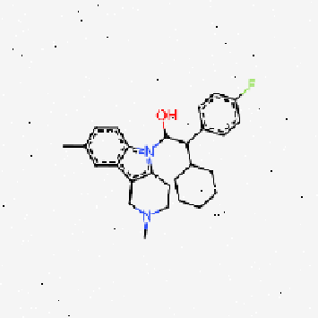 Cc1ccc2c(c1)c1c(n2C(O)C(c2ccc(F)cc2)C2CCCCC2)CCN(C)C1